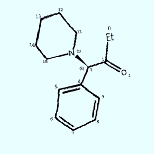 CCC(=O)[C@@H](c1ccccc1)N1CCCCC1